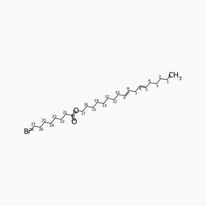 CCCCCC=CCC=CCCCCCCCCOC(=O)CCCCCCCBr